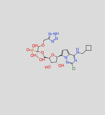 O=P(O)(O)[C@@](CO)(COCc1nn[nH]n1)OC[C@H]1O[C@@H](c2ccc3c(NCC4CCC4)nc(Cl)nn23)[C@H](O)[C@@H]1O